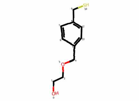 OCCOCc1ccc(CS)cc1